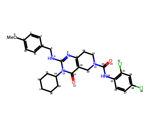 COc1ccc(CNc2nc3c(c(=O)n2C2CCCCC2)CN(C(=O)Nc2ccc(Cl)cc2Cl)CC3)cc1